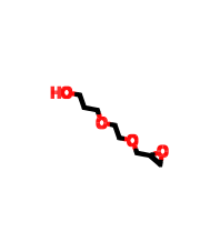 OCCCOCCOCC1CO1